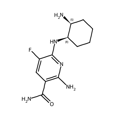 NC(=O)c1cc(F)c(N[C@@H]2CCCC[C@@H]2N)nc1N